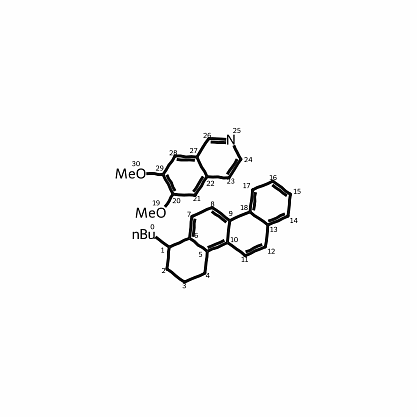 CCCCC1CCCc2c1ccc1c2ccc2ccccc21.COc1cc2ccncc2cc1OC